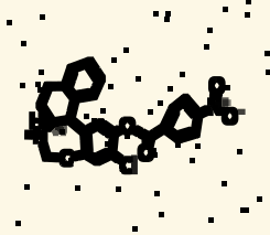 CN1CCc2cc(Cl)c(OC(=O)c3ccc([N+](=O)[O-])cc3)cc2C2c3ccccc3CC[C@@H]21